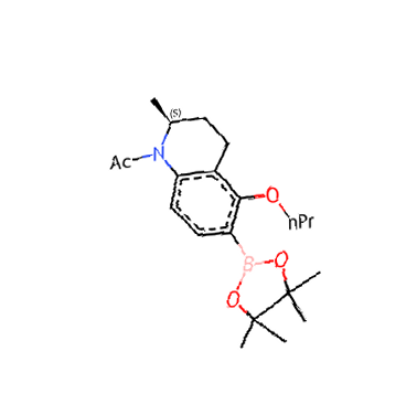 CCCOc1c(B2OC(C)(C)C(C)(C)O2)ccc2c1CC[C@H](C)N2C(C)=O